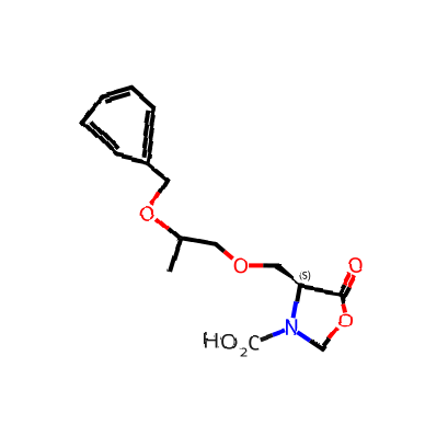 CC(COC[C@H]1C(=O)OCN1C(=O)O)OCc1ccccc1